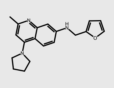 Cc1cc(N2CCCC2)c2ccc(NCc3ccco3)cc2n1